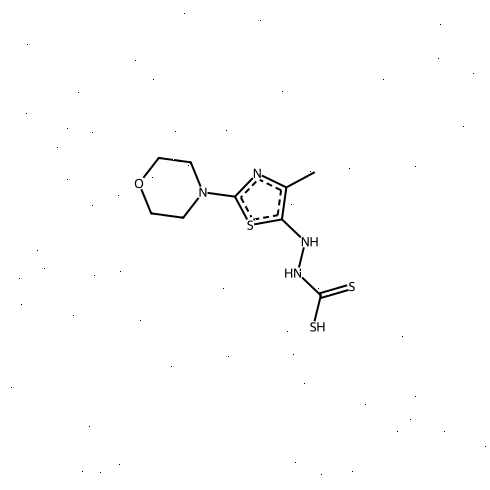 Cc1nc(N2CCOCC2)sc1NNC(=S)S